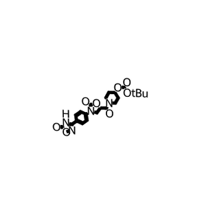 CC(C)(C)OC(=O)OC1CCN(C(=O)C2CN(c3ccc(-c4noc(=O)[nH]4)cc3)C(=O)O2)CC1